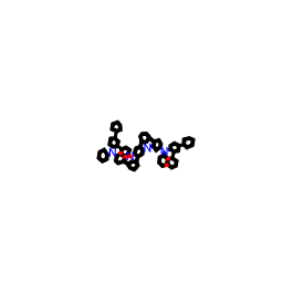 c1ccc(-c2ccc(N(c3ccccc3)c3ccc4c5cccc6c7cc8c(cc7n(c4c3)c56)c3cccc4c5ccc(N(c6ccccc6)c6ccc(-c7ccccc7)cc6-c6ccccc6)cc5n8c43)c(-c3ccccc3)c2)cc1